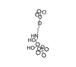 O=C(Oc1ccc([C@@H](O)CNCCCCCCOCCOCc2c(Cl)cccc2Cl)cc1CO)C(c1ccccc1)(c1ccccc1)c1ccccc1